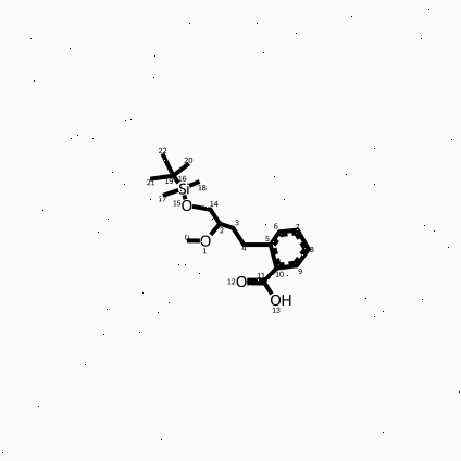 COC(CCc1ccccc1C(=O)O)CO[Si](C)(C)C(C)(C)C